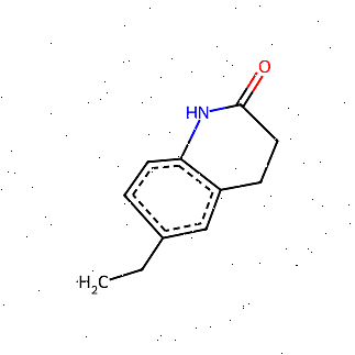 [CH2]Cc1ccc2c(c1)CCC(=O)N2